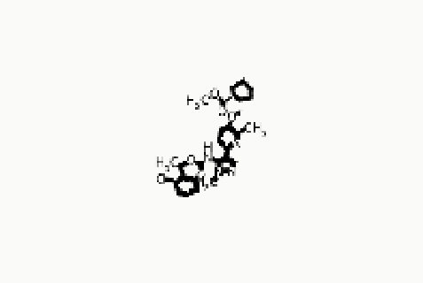 COC(=O)[C@H]1CCCC[C@@H]1COc1ccc(-c2cnn(C)c2NC(=O)O[C@H](C)c2ccccc2Cl)nc1C